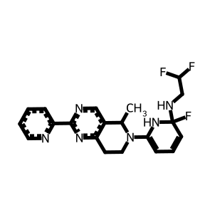 CC1c2cnc(-c3ccccn3)nc2CCN1C1=CC=CC(F)(NCC(F)F)N1